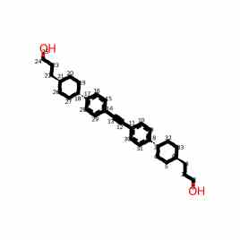 OCCC[C@H]1CC[C@H](c2ccc(C#Cc3ccc([C@H]4CC[C@H](CCCO)CC4)cc3)cc2)CC1